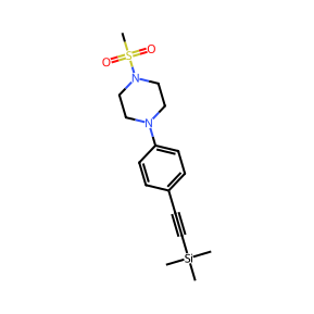 C[Si](C)(C)C#Cc1ccc(N2CCN(S(C)(=O)=O)CC2)cc1